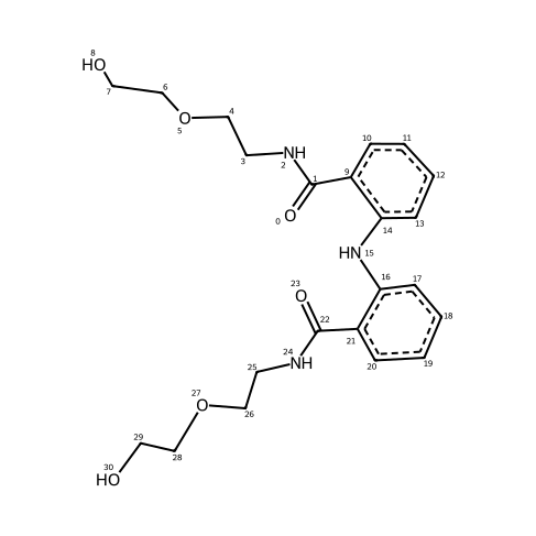 O=C(NCCOCCO)c1ccccc1Nc1ccccc1C(=O)NCCOCCO